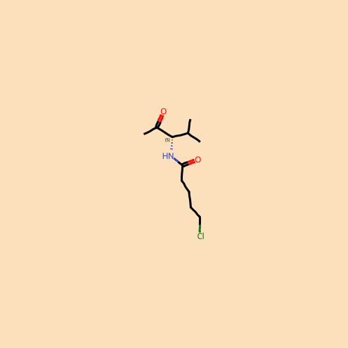 CC(=O)[C@@H](NC(=O)CCCCCl)C(C)C